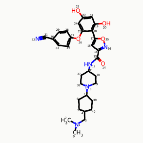 CN(C)CC1CCC(N2CCC(NC(=O)c3cc(-c4c(O)cc(O)cc4Oc4ccc(C#N)cc4)on3)CC2)CC1